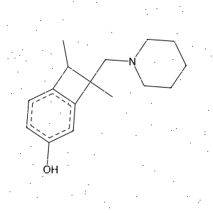 CC1c2ccc(O)cc2C1(C)CN1CCCCC1